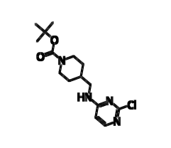 CC(C)(C)OC(=O)N1CCC(CNc2ccnc(Cl)n2)CC1